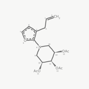 C=CCc1ccoc1N1C[C@H](OC(C)=O)[C@H](OC(C)=O)[C@H](OC(C)=O)C1